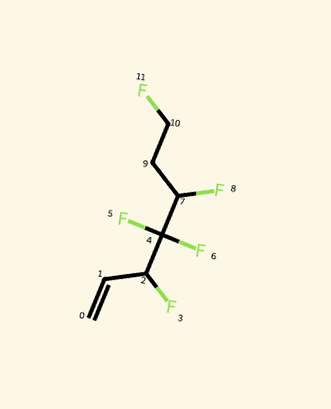 C=CC(F)C(F)(F)C(F)CCF